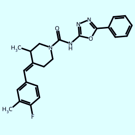 Cc1cc(C=C2CCN(C(=O)Nc3nnc(-c4ccccc4)o3)CC2C)ccc1F